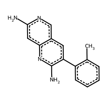 Cc1ccccc1-c1cc2cnc(N)cc2nc1N